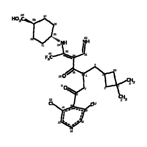 CC1(C)CC(CN(CC(=O)c2c(Cl)cncc2Cl)C(=O)/C(C=N)=C(/N[C@H]2CC[C@H](C(=O)O)CC2)C(F)(F)F)C1